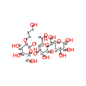 OCCCO[C@H]1[C@@H](O[C@H]2[C@H](O)[C@@H](O)[C@@H](O[C@H]3[C@H](O)[C@@H](O)C(O)O[C@@H]3CO)O[C@@H]2CO)O[C@H](CO)[C@@H](O)[C@@H]1O